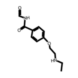 CCNCCOc1ccc(C(=O)NC=O)cc1